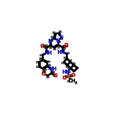 CS(=O)(=O)NC12C3C4C1C1C2C3C41CNC(=O)c1cc(C(=O)NCc2ccc3c(c2)NC(=O)CO3)nc2ccnn12